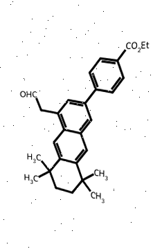 CCOC(=O)c1ccc(-c2cc(CC=O)c3cc4c(cc3c2)C(C)(C)CCC4(C)C)cc1